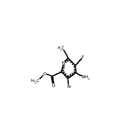 COC(=O)c1nc(C)c(F)c(N)c1Br